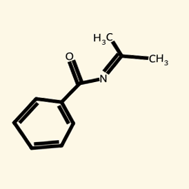 CC(C)=NC(=O)c1ccccc1